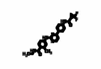 CCNC(=O)c1ccc(Nc2nccc(-c3ccc(NC(=O)C4CC4(F)F)cc3)n2)cc1C